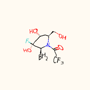 B[C@@H]1N(C(=O)C(F)(F)F)[C@H](CO)[C@@H](O)[C@]1(O)F